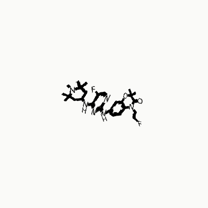 CN1C(C)(C)CC(Nc2nc(Nc3ccc4c(c3)OC(C)(C)C(=O)N4CCF)ncc2F)CC1(C)C